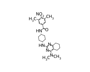 Cc1cc(C(=O)N[C@H]2CC[C@@H](Nc3nc4c(c(N(C)C)n3)CCCC4)CC2)cc(C)c1[N+](=O)[O-]